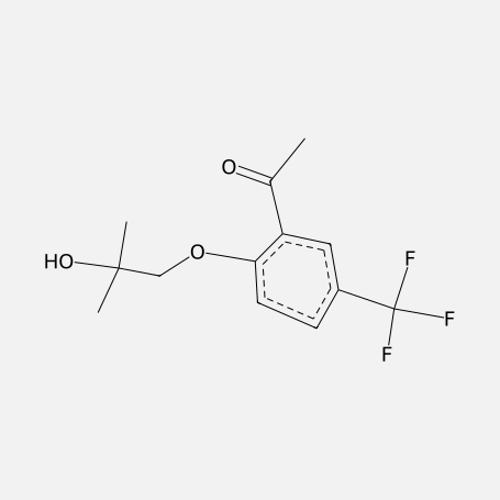 CC(=O)c1cc(C(F)(F)F)ccc1OCC(C)(C)O